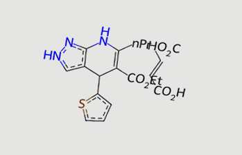 CCCC1=C(C(=O)OCC)C(c2cccs2)c2c[nH]nc2N1.O=C(O)C=CC(=O)O